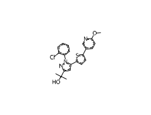 COc1ccc(-c2ccc(-c3cc(C(C)(C)O)nn3-c3ccccc3Cl)s2)cn1